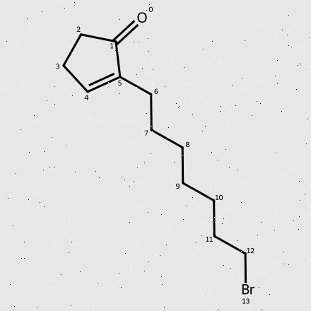 O=C1CCC=C1CCCCCCCBr